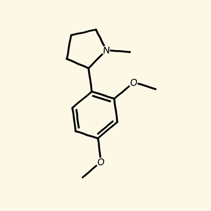 COc1ccc(C2CCCN2C)c(OC)c1